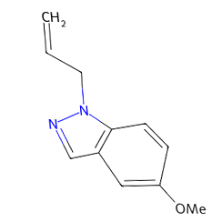 C=CCn1ncc2cc(OC)ccc21